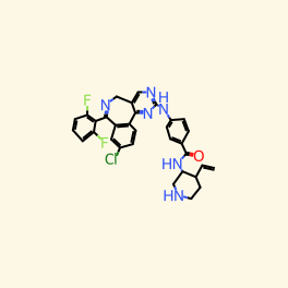 C=CC1CCNCC1NC(=O)c1ccc(Nc2ncc3c(n2)-c2ccc(Cl)cc2C(c2c(F)cccc2F)=NC3)cc1